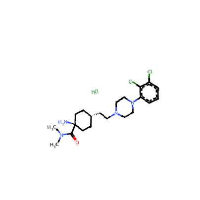 CN(C)C(=O)[C@]1(N)CC[C@H](CCN2CCN(c3cccc(Cl)c3Cl)CC2)CC1.Cl